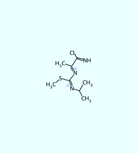 CSC(=N/C(C)C)/N=C(\C)C(=N)Cl